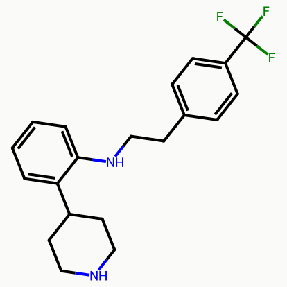 FC(F)(F)c1ccc(CCNc2ccccc2C2CCNCC2)cc1